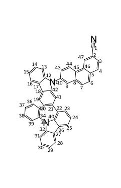 N#Cc1ccc2ccc3cc(-n4c5ccccc5c5ccc(-c6cccc7c8ccccc8n(-c8ccccc8)c67)cc54)ccc3c2c1